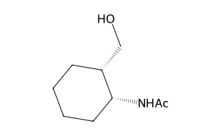 CC(=O)N[C@@H]1CCCC[C@@H]1CO